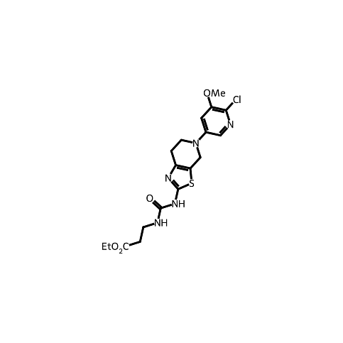 CCOC(=O)CCNC(=O)Nc1nc2c(s1)CN(c1cnc(Cl)c(OC)c1)CC2